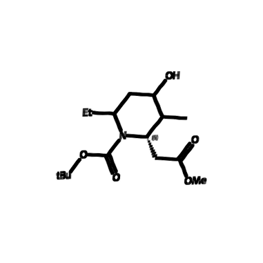 CCC1CC(O)C(C)[C@H](CC(=O)OC)N1C(=O)OC(C)(C)C